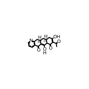 CC(=O)C1=C(O)C[C@@H]2C[C@@H]3Cc4ncccc4C(=O)C3=C(O)C2C1=O